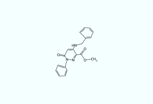 COC(=O)c1nn(-c2ccccc2)c(=O)cc1NCc1ccccc1